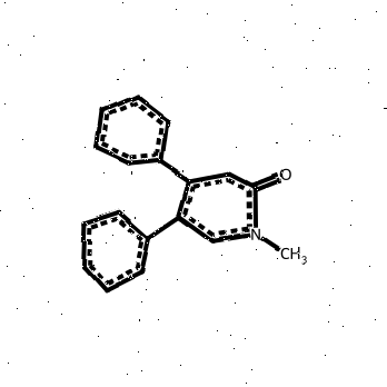 Cn1cc(-c2ccccc2)c(-c2ccccc2)cc1=O